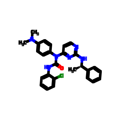 C[C@H](Nc1nccc(N(C(=O)Nc2ccccc2Cl)c2ccc(N(C)C)cc2)n1)c1ccccc1